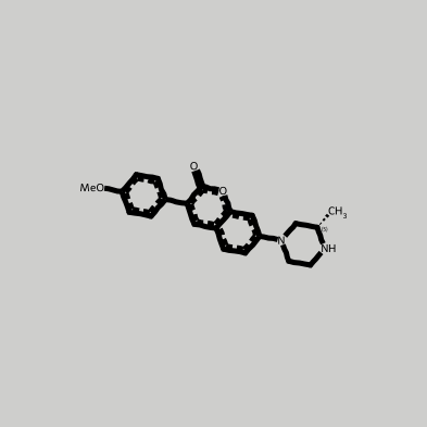 COc1ccc(-c2cc3ccc(N4CCN[C@@H](C)C4)cc3oc2=O)cc1